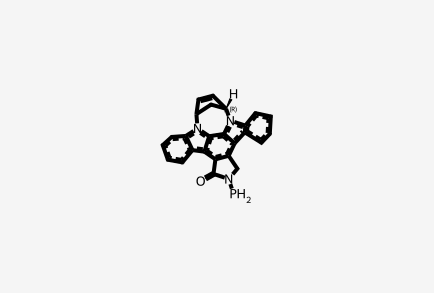 O=C1c2c(c3c4ccccc4n4c3c3c2c2ccccc2n3C2C=C[C@H]4C2)CN1P